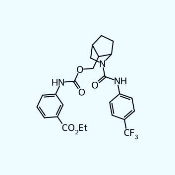 CCOC(=O)c1cccc(NC(=O)OCC2C3CCC2N(C(=O)Nc2ccc(C(F)(F)F)cc2)C3)c1